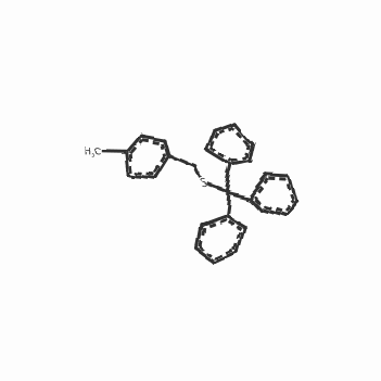 Cc1ccc(CSC(c2ccccc2)(c2ccccc2)c2ccccc2)cc1